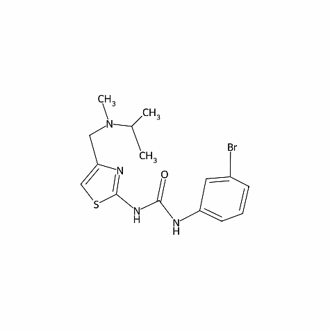 CC(C)N(C)Cc1csc(NC(=O)Nc2cccc(Br)c2)n1